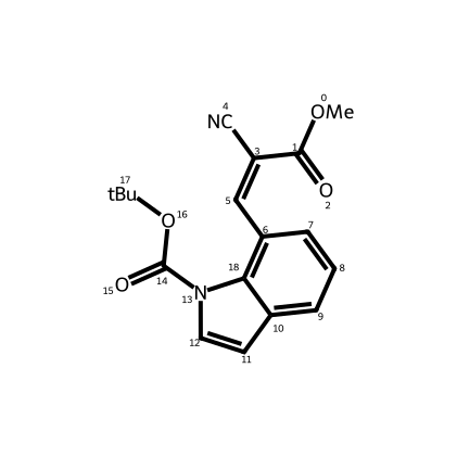 COC(=O)C(C#N)=Cc1cccc2ccn(C(=O)OC(C)(C)C)c12